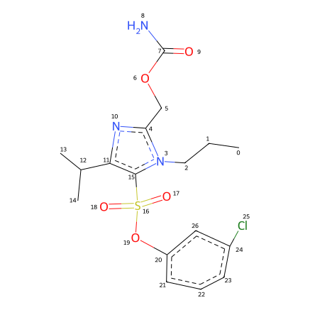 CCCn1c(COC(N)=O)nc(C(C)C)c1S(=O)(=O)Oc1cccc(Cl)c1